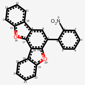 O=[N+]([O-])c1ccccc1-c1cc2c3ccccc3oc2c2c1oc1ccccc12